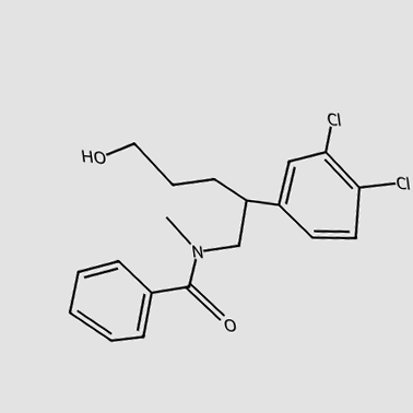 CN(CC(CCCO)c1ccc(Cl)c(Cl)c1)C(=O)c1ccccc1